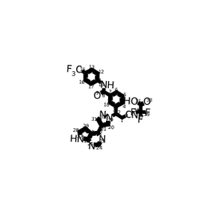 N#CCC(c1cccc(C(=O)Nc2ccc(C(F)(F)F)cc2)c1)n1cc(-c2ncnc3[nH]ccc23)cn1.O=C(O)C(F)(F)F